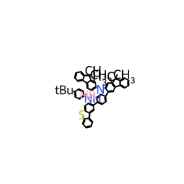 CC(C)(C)c1ccc(Nc2cc3sc4ccccc4c3cc2-c2ccc3c4cc5c(cc4n4c3c2Bc2cc3c(cc2-4)C(C)(C)c2ccccc2-3)C(C)(C)c2ccccc2-5)cc1